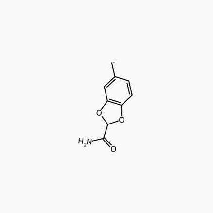 [CH2]c1ccc2c(c1)OC(C(N)=O)O2